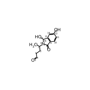 CC(CCC=O)N1C(=O)c2ccc(O)cc2C1O